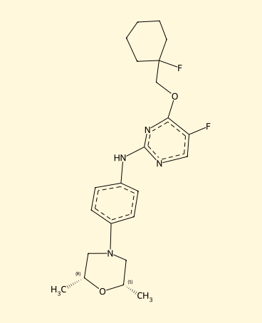 C[C@@H]1CN(c2ccc(Nc3ncc(F)c(OCC4(F)CCCCC4)n3)cc2)C[C@H](C)O1